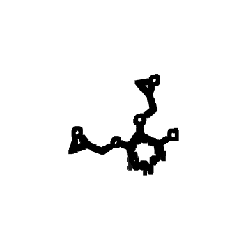 Clc1nnnc(OCC2CO2)c1OCC1CO1